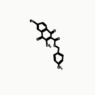 CC1=C(C(=O)OCc2ccc(C)cc2)C(=O)c2ccc(C(C)C)cc2C1=O